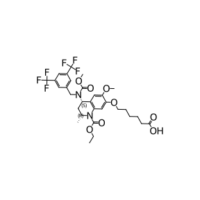 CCOC(=O)N1c2cc(OCCCCCC(=O)O)c(OC)cc2[C@@H](N(Cc2cc(C(F)(F)F)cc(C(F)(F)F)c2)C(=O)OC)C[C@H]1C